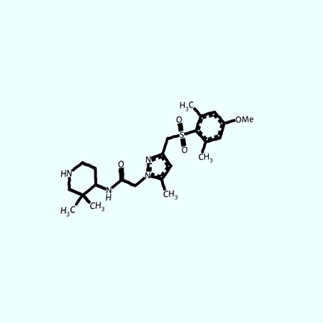 COc1cc(C)c(S(=O)(=O)Cc2cc(C)n(CC(=O)NC3CCNCC3(C)C)n2)c(C)c1